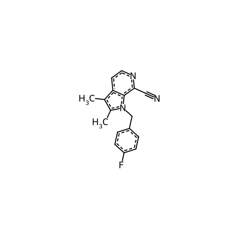 Cc1c(C)n(Cc2ccc(F)cc2)c2c(C#N)nccc12